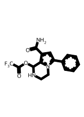 NC(=O)c1cc(-c2ccccc2)n2c1C(OC(=O)C(F)(F)F)NCC2